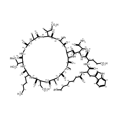 COC(C(=O)O)C1NC(=O)C(CCCCN)NC(=O)C(CC(=O)O)NC(=O)C(C)NC(=O)CN(C)C(=O)C(NC(=O)C(NC(=O)C(CCC(=O)O)NC(=O)C(Cc2c[nH]c3ccccc23)NC(=O)CCCCCCC(C)C)C(O)C(N)=O)C(C)OC(=O)C(C(C)C)NC(=O)C(C(C)CC(=O)O)NC(=O)C(C)NC(=O)CNC1=O